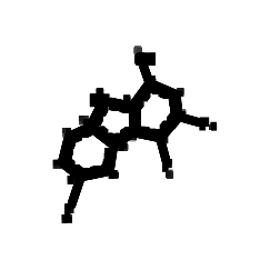 Oc1cc(F)c(F)c2c1[nH]c1ccc(F)cc12